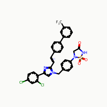 O=C1CN(c2ccc(Cn3cc(-c4ccc(Cl)cc4Cl)nc3/C=C/c3ccc(-c4cccc(C(F)(F)F)c4)cc3)cc2)S(=O)(=O)N1